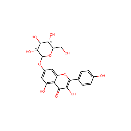 O=c1c(O)c(-c2ccc(O)cc2)oc2cc(OC3OC(CO)[C@@H](O)C(O)[C@H]3O)cc(O)c12